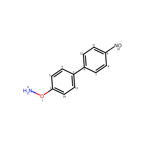 NOc1ccc(-c2ccc(N=O)cc2)cc1